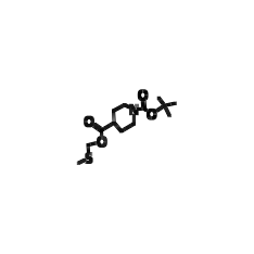 CSCOC(=O)C1CCN(C(=O)OC(C)(C)C)CC1